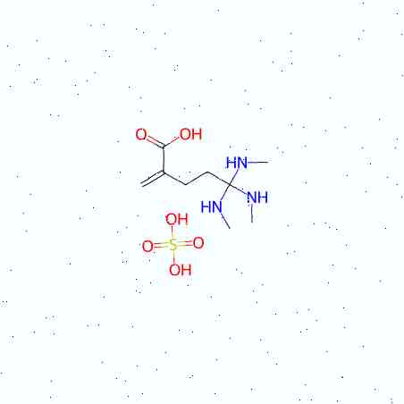 C=C(CCC(NC)(NC)NC)C(=O)O.O=S(=O)(O)O